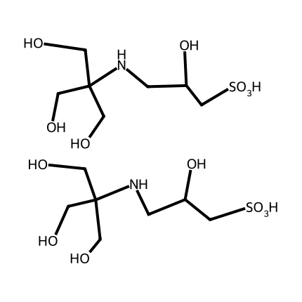 O=S(=O)(O)CC(O)CNC(CO)(CO)CO.O=S(=O)(O)CC(O)CNC(CO)(CO)CO